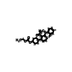 CCOC(=O)OC1CCN(c2ncnc(N(C)c3ccccc3F)c2[N+](=O)[O-])CC1